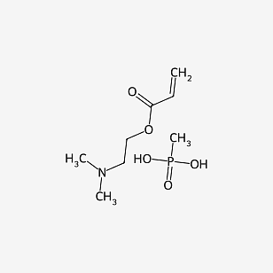 C=CC(=O)OCCN(C)C.CP(=O)(O)O